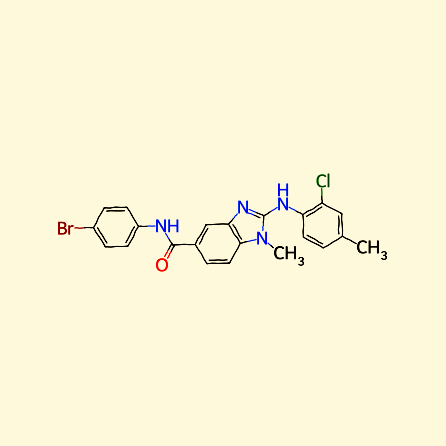 Cc1ccc(Nc2nc3cc(C(=O)Nc4ccc(Br)cc4)ccc3n2C)c(Cl)c1